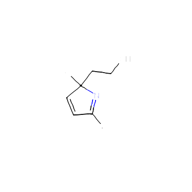 [CH2]CCC1(C)C=CC(C)=N1